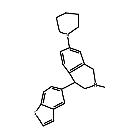 CN1Cc2cc(N3CCCCC3)ccc2C(c2ccc3sccc3c2)C1